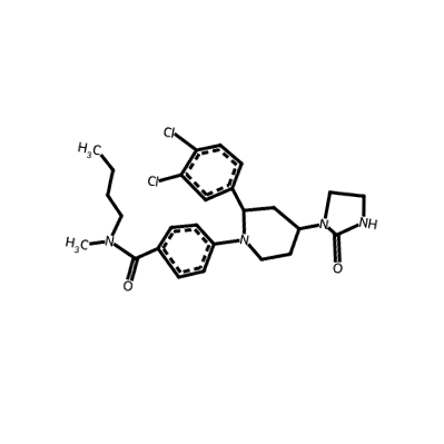 CCCCN(C)C(=O)c1ccc(N2CCC(N3CCNC3=O)CC2c2ccc(Cl)c(Cl)c2)cc1